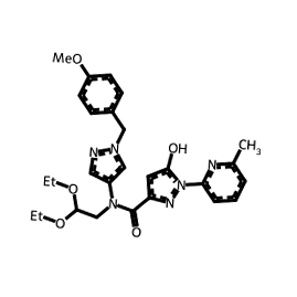 CCOC(CN(C(=O)c1cc(O)n(-c2cccc(C)n2)n1)c1cnn(Cc2ccc(OC)cc2)c1)OCC